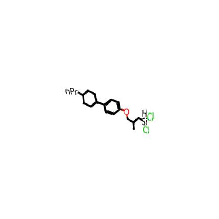 CCCC1CCC(c2ccc(OCC(C)C[SiH](Cl)Cl)cc2)CC1